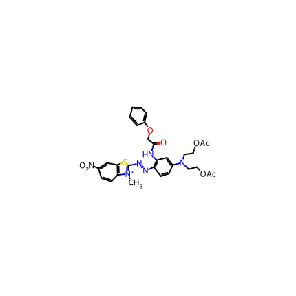 CC(=O)OCCN(CCOC(C)=O)c1ccc(N=Nc2sc3cc([N+](=O)[O-])ccc3[n+]2C)c(NC(=O)COc2ccccc2)c1